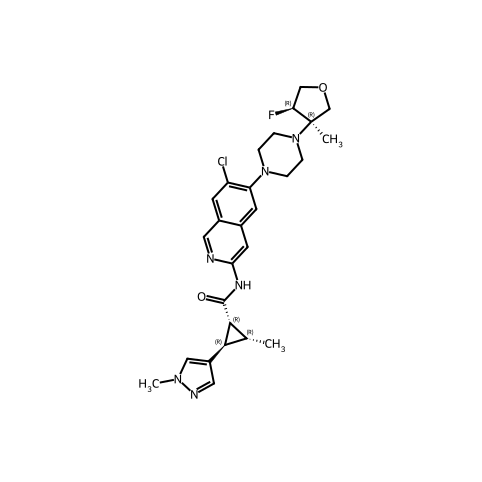 C[C@H]1[C@@H](C(=O)Nc2cc3cc(N4CCN([C@]5(C)COC[C@@H]5F)CC4)c(Cl)cc3cn2)[C@@H]1c1cnn(C)c1